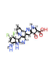 CNc1cc(F)c(F)c2c1[nH]c1ncc(-c3cnc4c(c3)c(=O)c(C(=O)O)cn4C)c(N3CC4CC4C3)c12